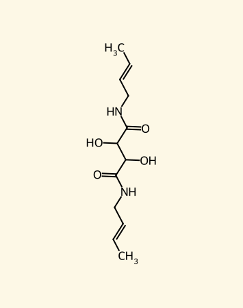 C/C=C/CNC(=O)C(O)C(O)C(=O)NC/C=C/C